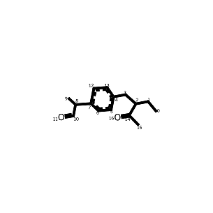 CCC(Cc1ccc(C(C)C=O)cc1)C(C)=O